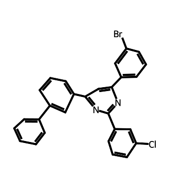 Clc1cccc(-c2nc(-c3cccc(Br)c3)cc(-c3cccc(-c4ccccc4)c3)n2)c1